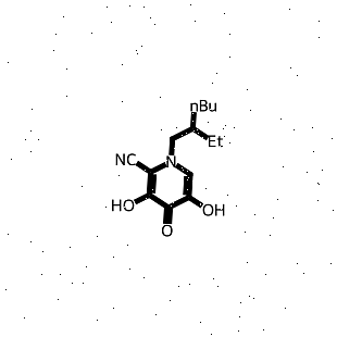 CCCCC(CC)Cn1cc(O)c(=O)c(O)c1C#N